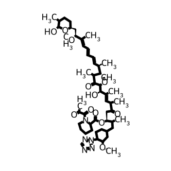 COC1CC(CC(C)[C@H](CC(=O)C(C)/C=C(\C)[C@@H](O)C(OC)C(=O)C(C)C[C@H](C)/C=C/C=C/C=C(\C)[C@H](C[C@@H]2CCC(C)C(O)O2)OC)OC(=O)C2CCCCN2C(=O)C(C)=O)CCC1n1ncnn1